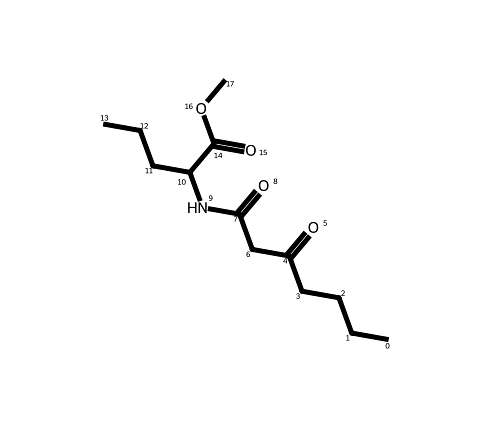 CCCCC(=O)CC(=O)NC(CCC)C(=O)OC